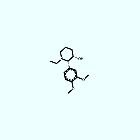 CCN1CCC[C@H](O)[C@@H]1c1ccc(OC)c(OC)c1